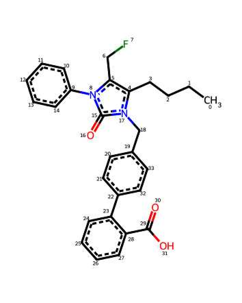 CCCCc1c(CF)n(-c2ccccc2)c(=O)n1Cc1ccc(-c2ccccc2C(=O)O)cc1